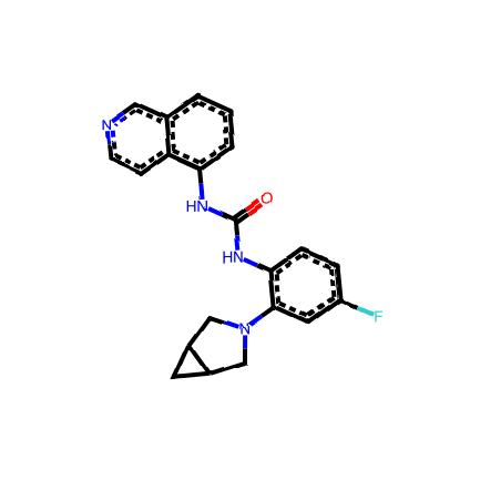 O=C(Nc1ccc(F)cc1N1CC2CC2C1)Nc1cccc2cnccc12